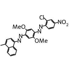 COc1cc(N=Nc2ccc(C)c3ccccc23)c(OC)cc1N=Nc1ccc([N+](=O)[O-])cc1Cl